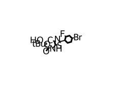 CC(C)(C)OC(=O)Nc1sc(-c2ccc(Br)cc2F)nc1C(=O)O